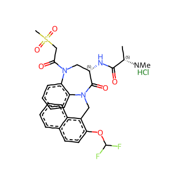 CN[C@@H](C)C(=O)N[C@H]1CN(C(=O)CS(C)(=O)=O)c2ccccc2N(Cc2c(OC(F)F)ccc3ccccc23)C1=O.Cl